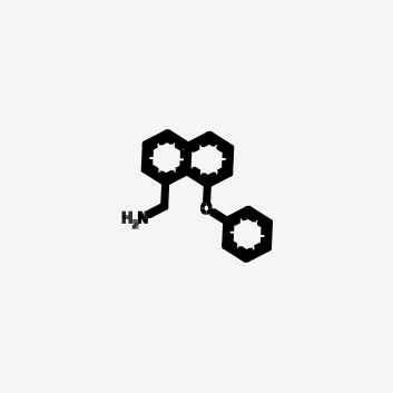 NCc1cccc2cccc(Oc3ccccc3)c12